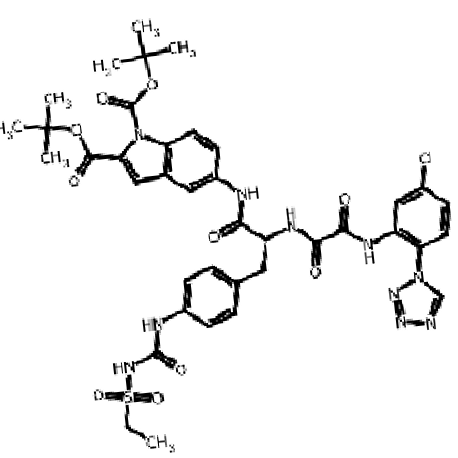 CCS(=O)(=O)NC(=O)Nc1ccc(C[C@H](NC(=O)C(=O)Nc2cc(Cl)ccc2-n2cnnn2)C(=O)Nc2ccc3c(c2)cc(C(=O)OC(C)(C)C)n3C(=O)OC(C)(C)C)cc1